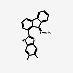 ON=C1c2ccccc2-c2cccc(-c3nc4cc(F)c(Cl)cc4[nH]3)c21